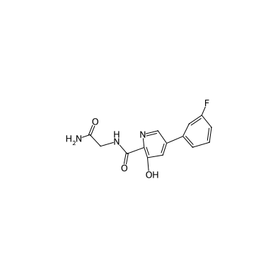 NC(=O)CNC(=O)c1ncc(-c2cccc(F)c2)cc1O